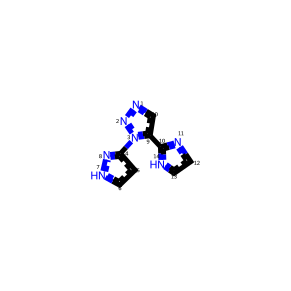 [c]1nnn(-c2cc[nH]n2)c1-c1ncc[nH]1